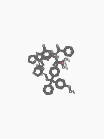 COc1ccc(C(OC[C@]23COC(C2OP(SCCSC(=O)c2ccccc2)N2CCCC2)[C@H](n2cnc4c(=O)[nH]c(NC(=O)C(C)C)nc42)O3)(c2ccccc2)c2ccc(OC)cc2)cc1